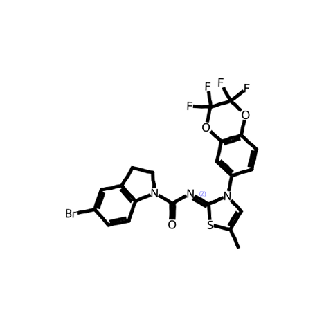 Cc1cn(-c2ccc3c(c2)OC(F)(F)C(F)(F)O3)/c(=N/C(=O)N2CCc3cc(Br)ccc32)s1